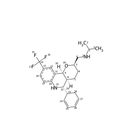 CC(C)NC[C@H]1CC[C@@H]2[C@H](O1)c1cc(C(F)(F)F)ccc1N[C@H]2C1C=CC=CC1